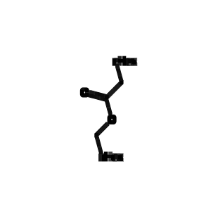 CCCCCCCOC(=O)CCCCCCC